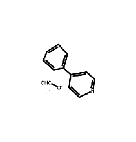 O=C[O-].[Li+].c1ccc(-c2ccncc2)cc1